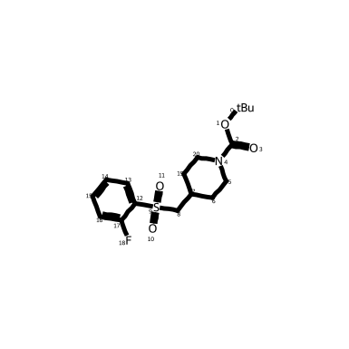 CC(C)(C)OC(=O)N1CCC(CS(=O)(=O)c2ccccc2F)CC1